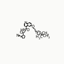 CC(C)(C)N1CCN(CCCOc2ccc3nccc(C(=O)NCC(=O)C4CCC[C@H]4C#N)c3c2)CC1